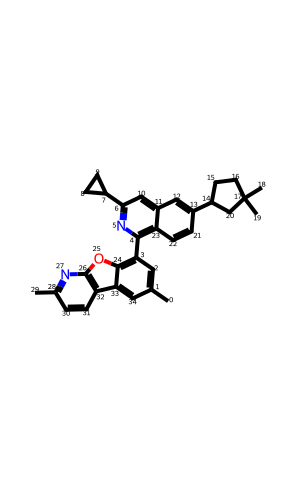 Cc1cc(-c2nc(C3CC3)cc3cc(C4CCC(C)(C)C4)ccc23)c2oc3nc(C)ccc3c2c1